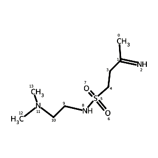 CC(=N)CCS(=O)(=O)NCCN(C)C